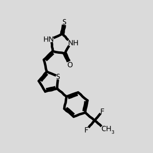 CC(F)(F)c1ccc(-c2ccc(C=C3NC(=S)NC3=O)s2)cc1